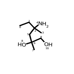 CCC(C)(N)CC(C)(O)CO